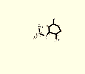 CC1CCC(C(C)C)C(O[NH+]([O-])O)C1